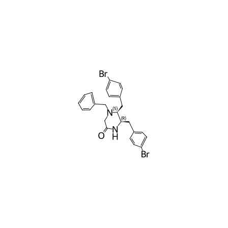 O=C1CN(Cc2ccccc2)[C@@H](Cc2ccc(Br)cc2)[C@@H](Cc2ccc(Br)cc2)N1